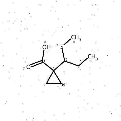 CCC(SC)C1(C(=O)O)CC1